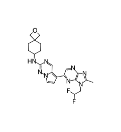 Cc1nc2ncc(-c3ccn4nc(NC5CCC6(CC5)COC6)ncc34)nc2n1CC(F)F